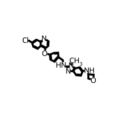 Cn1c(NCc2ccc(Oc3ccnc4cc(Cl)ccc34)cc2)nc2ccc(NC3COC3)cc21